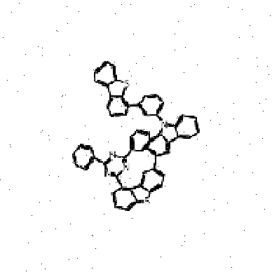 c1ccc(-c2nc(-c3ccccc3)nc(-c3cccc4sc5ccc(-c6ccc7c(c6)c6ccccc6n7-c6cccc(-c7cccc8c7sc7ccccc78)c6)cc5c34)n2)cc1